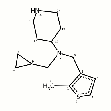 Cc1sccc1CN(CC1CC1)C1CCNCC1